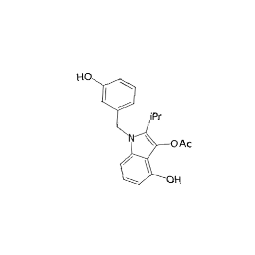 CC(=O)Oc1c(C(C)C)n(Cc2cccc(O)c2)c2cccc(O)c12